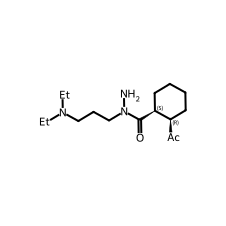 CCN(CC)CCCN(N)C(=O)[C@H]1CCCC[C@H]1C(C)=O